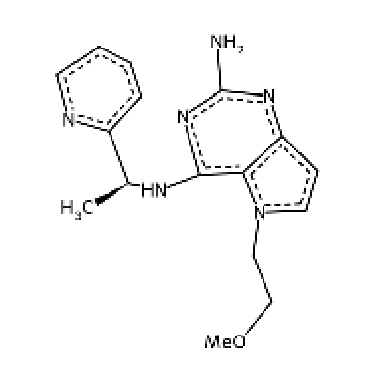 COCCn1ccc2nc(N)nc(N[C@@H](C)c3ccccn3)c21